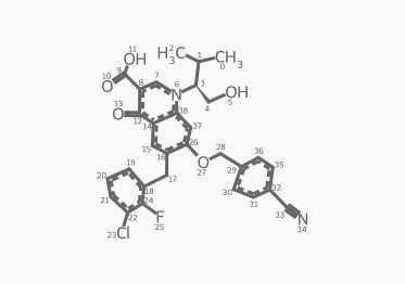 CC(C)[C@@H](CO)n1cc(C(=O)O)c(=O)c2cc(Cc3cccc(Cl)c3F)c(OCc3ccc(C#N)cc3)cc21